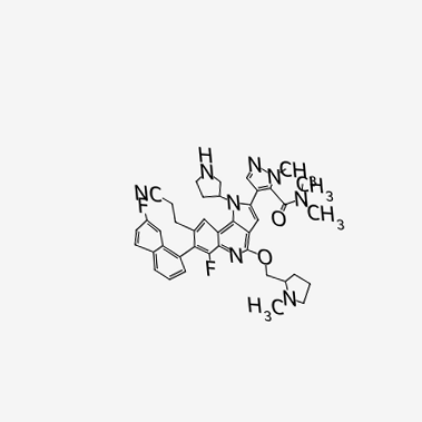 CN(C)C(=O)c1c(-c2cc3c(OCC4CCCN4C)nc4c(F)c(-c5cccc6ccc(F)cc56)c(CCC#N)cc4c3n2C2CCNC2)cnn1C